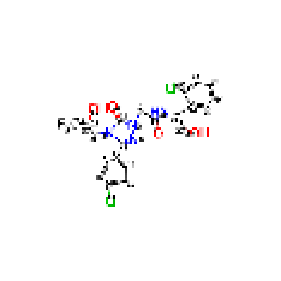 O=C(Cn1nc(-c2ccc(Cl)cc2)n(C[C@H](O)C(F)(F)F)c1=O)NC(CO)c1ccccc1Cl